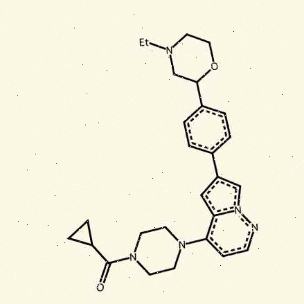 CCN1CCOC(c2ccc(-c3cc4c(N5CCN(C(=O)C6CC6)CC5)ccnn4c3)cc2)C1